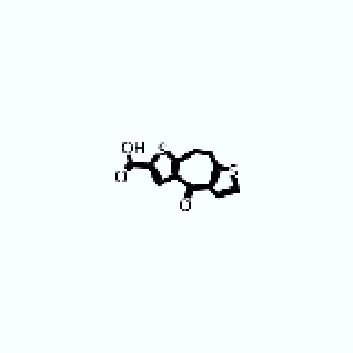 O=C(O)c1cc2c(s1)CCc1sccc1C2=O